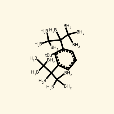 BC(B)(B)C(B)(c1cccc(C(B)(C(B)(B)B)C(B)(B)B)c1C(C)(C)C)C(B)(B)B